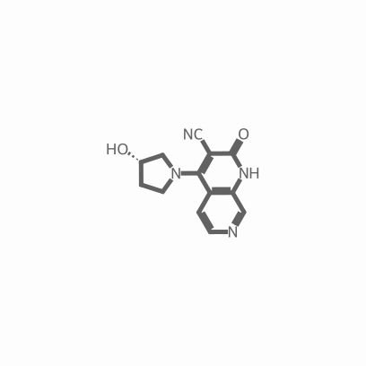 N#Cc1c(N2CC[C@H](O)C2)c2ccncc2[nH]c1=O